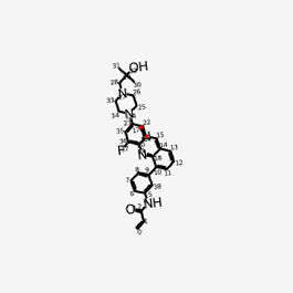 C=CC(=O)Nc1cccc(C2=CC=CC(=C/N=C)/C2=N\c2ccc(N3CCN(CC(C)(C)O)CC3)cc2F)c1